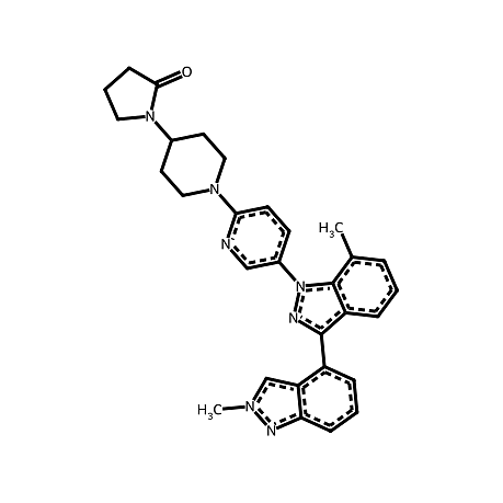 Cc1cccc2c(-c3cccc4nn(C)cc34)nn(-c3ccc(N4CCC(N5CCCC5=O)CC4)nc3)c12